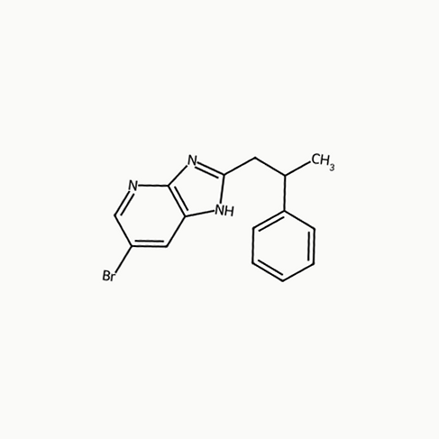 CC(Cc1nc2ncc(Br)cc2[nH]1)c1ccccc1